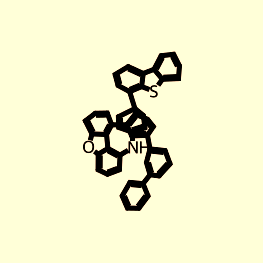 c1ccc(-c2cccc(-c3cccc(-c4cccc5oc6cccc(Nc7ccc(-c8cccc9c8sc8ccccc89)cc7)c6c45)c3)c2)cc1